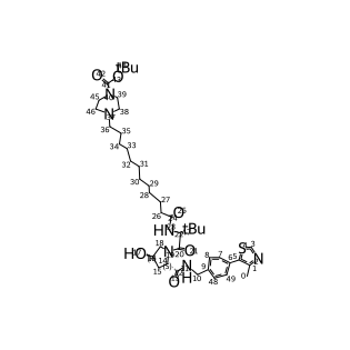 Cc1ncsc1-c1ccc(CNC(=O)[C@@H]2C[C@@H](O)CN2C(=O)C(NC(=O)CCCCCCCCCCCN2CCN(C(=O)OC(C)(C)C)CC2)C(C)(C)C)cc1